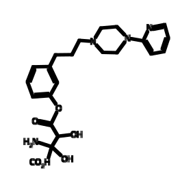 NC(O)(C(=O)O)C(O)C(=O)Oc1cccc(CCCN2CCN(c3ccccn3)CC2)c1